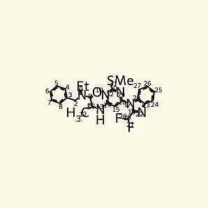 CCN(Cc1ccccc1)C(=O)[C@H](C)Nc1cc(-n2c(C(F)F)nc3ccccc32)nc(SC)n1